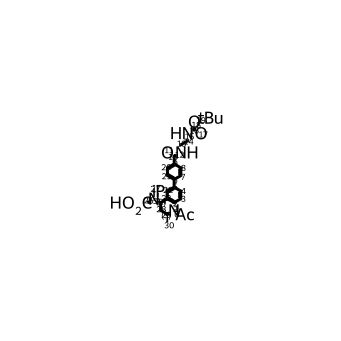 CC(=O)N1c2ccc(-c3ccc(C(=O)NCCNC(=O)OC(C)(C)C)cc3)cc2[C@H](N(C(=O)O)C(C)C)C[C@@H]1C